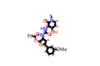 CCC(=O)Oc1sc(-c2cccc(OC)c2)cc1NC(=O)Nc1c(O)ccn(C)c1=O